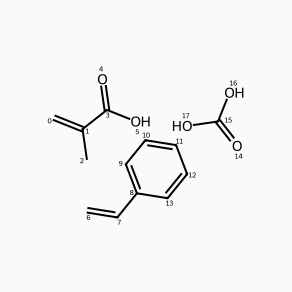 C=C(C)C(=O)O.C=Cc1ccccc1.O=C(O)O